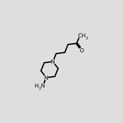 CC(=O)CCCN1CCN(N)CC1